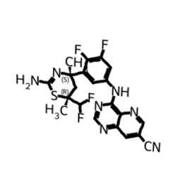 C[C@]1(C(F)F)C[C@@](C)(c2cc(Nc3ncnc4cc(C#N)cnc34)cc(F)c2F)N=C(N)S1